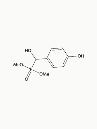 COP(=O)(OC)C(O)c1ccc(O)cc1